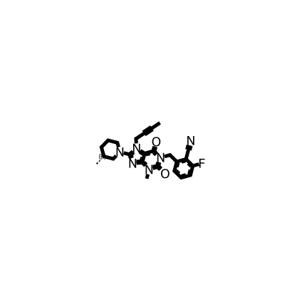 CC#CCn1c(N2CCC[C@@H](C)C2)nc2c1c(=O)n(Cc1cccc(F)c1C#N)c(=O)n2C